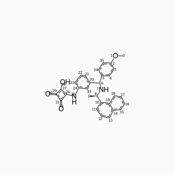 COc1ccc(C(N[C@H](C)c2cccc3ccccc23)c2cccc(Nc3c(O)c(=O)c3=O)c2)cc1